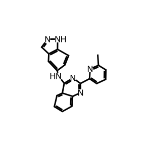 Cc1cccc(-c2nc(Nc3ccc4[nH]ncc4c3)c3ccccc3n2)n1